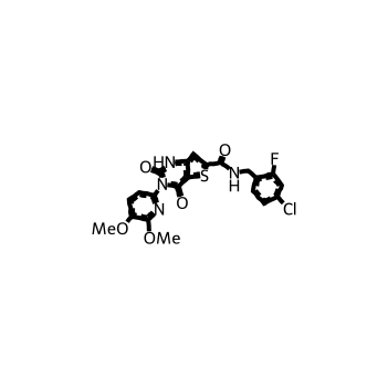 COc1ccc(-n2c(=O)[nH]c3cc(C(=O)NCc4ccc(Cl)cc4F)sc3c2=O)nc1OC